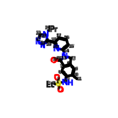 CCS(=O)(=O)Nc1cc2c(cc1C)CN(c1cccc(-c3nncn3C(C)C)n1)C2=O